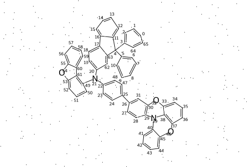 c1ccc(C2(c3ccccc3)c3ccccc3-c3ccc(N(c4ccc(-c5ccc6c(c5)Oc5cccc7c5N6c5ccccc5O7)cc4)c4cccc5oc6ccccc6c45)cc32)cc1